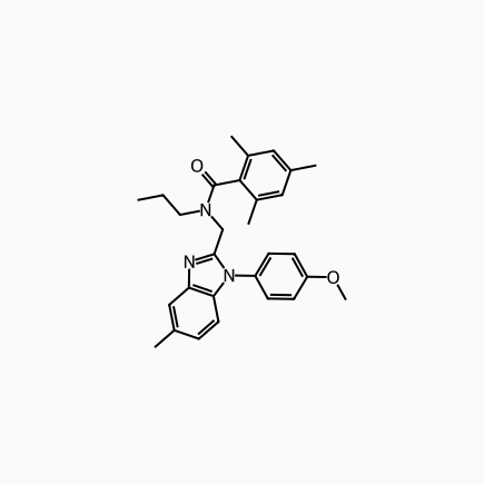 CCCN(Cc1nc2cc(C)ccc2n1-c1ccc(OC)cc1)C(=O)c1c(C)cc(C)cc1C